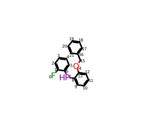 Fc1ccccc1Pc1ccccc1OCc1ccccc1